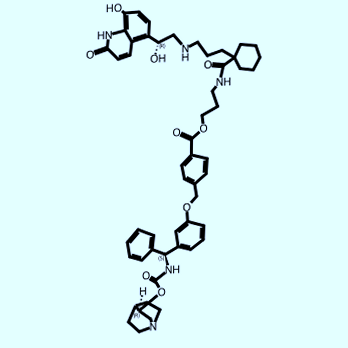 O=C(N[C@@H](c1ccccc1)c1cccc(OCc2ccc(C(=O)OCCCNC(=O)C3(CCCNC[C@H](O)c4ccc(O)c5[nH]c(=O)ccc45)CCCCC3)cc2)c1)O[C@H]1CN2CCC1CC2